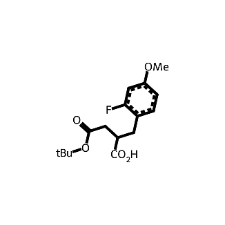 COc1ccc(CC(CC(=O)OC(C)(C)C)C(=O)O)c(F)c1